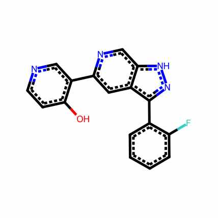 Oc1ccncc1-c1cc2c(-c3ccccc3F)n[nH]c2cn1